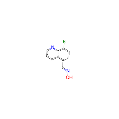 O/N=C/c1ccc(Br)c2ncccc12